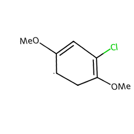 COC1=CC(Cl)=C(OC)C[CH]1